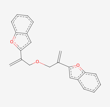 C=C(COCC(=C)c1cc2ccccc2o1)c1cc2ccccc2o1